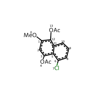 COc1cc(OC(C)=O)c2c(Cl)cccc2c1OC(C)=O